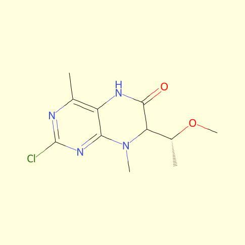 CO[C@H](C)C1C(=O)Nc2c(C)nc(Cl)nc2N1C